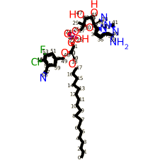 CCCCCCCCCCCCCCCCCCOC[C@H](COP(=O)(O)OCC1(C)O[C@@](C#N)(c2ccc3c(N)ncnn23)[C@H](O)[C@@H]1O)OCc1cc(F)c(Cl)c(C#N)c1